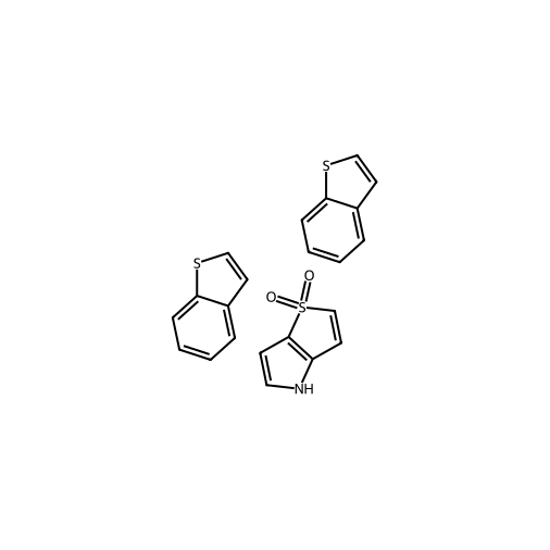 O=S1(=O)C=Cc2[nH]ccc21.c1ccc2sccc2c1.c1ccc2sccc2c1